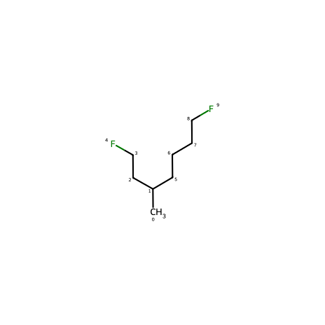 CC(CCF)CCCCF